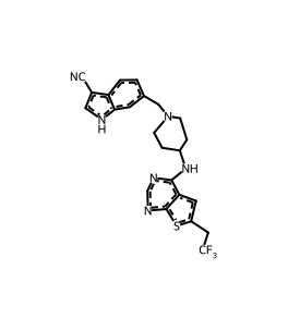 N#Cc1c[nH]c2cc(CN3CCC(Nc4ncnc5sc(CC(F)(F)F)cc45)CC3)ccc12